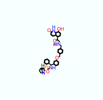 O=C(NC(c1ccccc1)c1cccc(OCc2ccc(CNC[C@H](O)c3ccc(O)c4[nH]c(=O)ccc34)cc2)c1)P[C@H]1CN2CCC1CC2